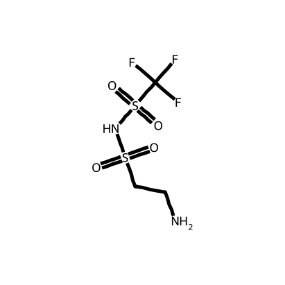 NCCS(=O)(=O)NS(=O)(=O)C(F)(F)F